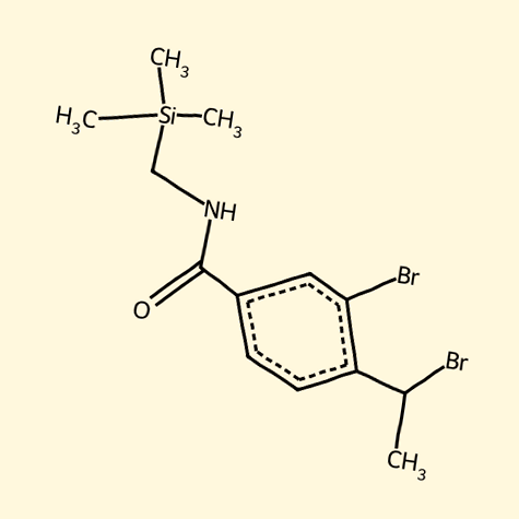 CC(Br)c1ccc(C(=O)NC[Si](C)(C)C)cc1Br